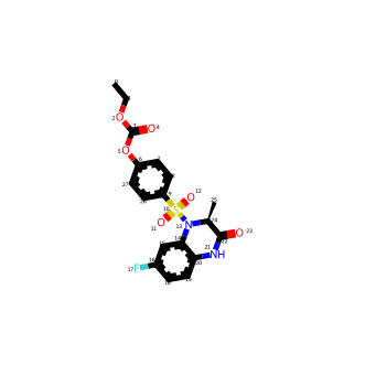 CCOC(=O)Oc1ccc(S(=O)(=O)N2c3cc(F)ccc3NC(=O)[C@@H]2C)cc1